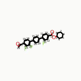 O=C(OC1CCCCC1)c1ccc(-c2ccc(-c3ccc(C4CO4)c(F)c3F)cc2)c(F)c1